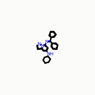 c1ccc(C(=Nc2cc(NC3CCCCC3)cc3ccnn23)c2ccccc2)cc1